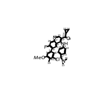 COc1cc(-c2cc3c(Nc4ccc(CN(C)C)cc4)c(C(=O)C4CC4)cnc3cc2F)cc(Cl)c1C